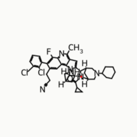 Cc1nc2c(F)c(-c3cccc(Cl)c3Cl)c(CCC#N)cc2c2c1cc([C@H]1[C@@H]3C[C@H](CN(C4CCCCC4)C3)N1C(=O)C1CC1)n2[C@H]1[C@H]2CN[C@@H]1C2